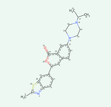 Cc1nc2ccc(-c3cc4ccc(N5CCN(C(C)C)CC5)cc4c(=O)o3)cc2s1